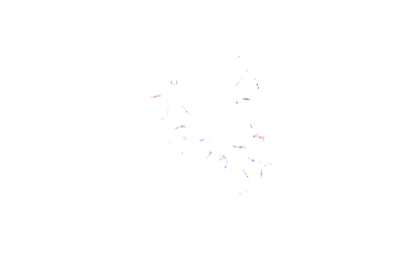 COC(=O)c1ccc2c(c1)CC[C@@H]2NC(=O)c1cc(C(=O)NCc2ccc(F)cc2)n2ncc(O)c2n1